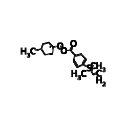 C=C[Si](C)(C)c1ccc(C(=O)OO[C]2CCC(C)CC2)cc1